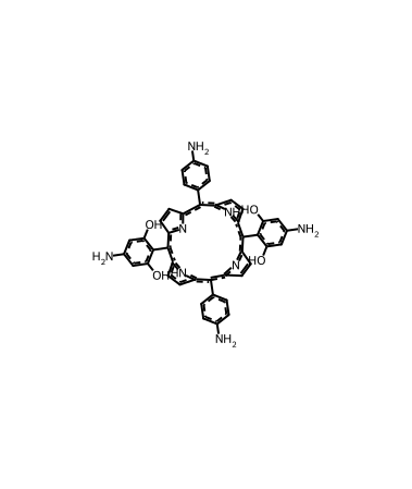 Nc1ccc(-c2c3nc(c(-c4c(O)cc(N)cc4O)c4ccc([nH]4)c(-c4ccc(N)cc4)c4nc(c(-c5c(O)cc(N)cc5O)c5ccc2[nH]5)C=C4)C=C3)cc1